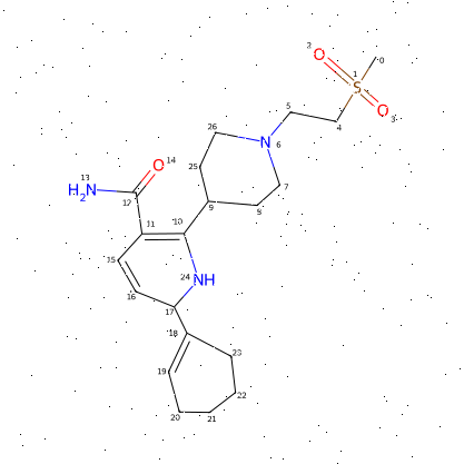 CS(=O)(=O)CCN1CCC(C2=C(C(N)=O)C=[C]C(C3=CCCCC3)N2)CC1